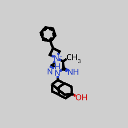 CC(C(=N)NC1C2CC3CC1CC(O)(C3)C2)[N+]1(C#N)CC(c2ccccc2)C1